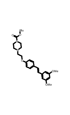 COc1cc(/C=C/c2ccc(OCCN3CCN(C(=O)OC(C)(C)C)CC3)cc2)cc(OC)c1